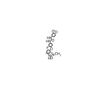 CCN1Cc2c(Oc3ccc(NC(=O)Nc4ccc5c(c4)OCO5)cc3F)ccnc2NC1=O